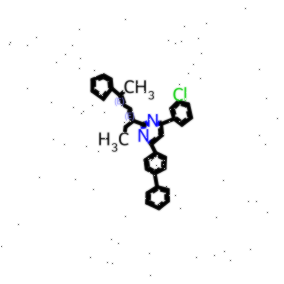 CC/C(=C\C=C(/C)c1ccccc1)c1nc(-c2ccc(-c3ccccc3)cc2)cc(-c2cccc(Cl)c2)n1